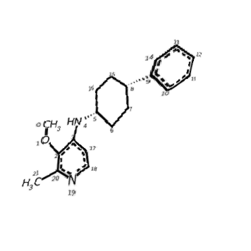 COc1c(N[C@H]2CC[C@@H](c3ccccc3)CC2)ccnc1C